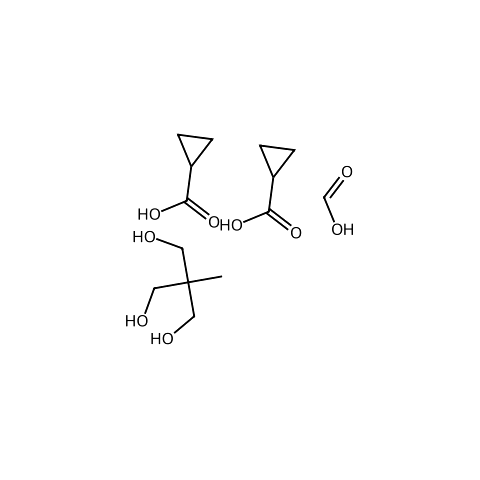 CC(CO)(CO)CO.O=C(O)C1CC1.O=C(O)C1CC1.O=CO